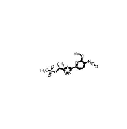 C[C@H](OS(C)(=O)=O)c1nnc(-c2ccc(N=C=O)c(OC(C)(C)C)n2)s1